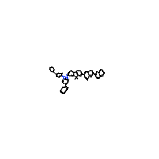 CC1(C)c2cc(-c3ccc4cc(-c5ccc6ccccc6c5)ccc4c3)ccc2-c2ccc(N(c3ccc(-c4ccccc4)cc3)c3ccc(-c4ccccc4)cc3)cc21